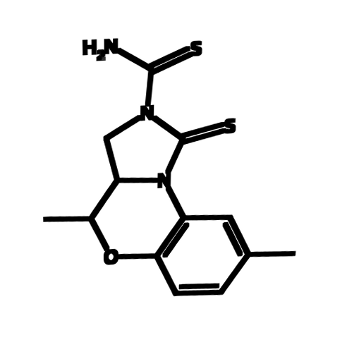 Cc1ccc2c(c1)N1C(=S)N(C(N)=S)CC1C(C)O2